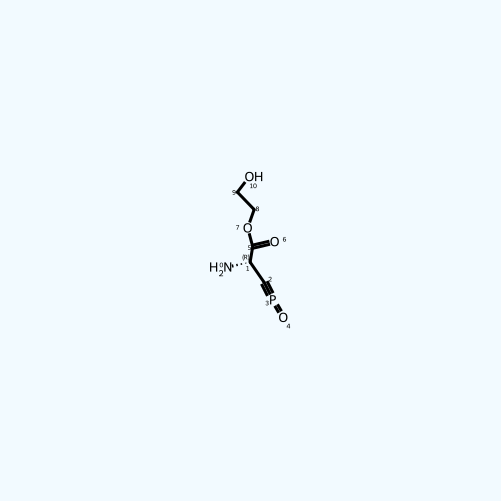 N[C@@H](C#P=O)C(=O)OCCO